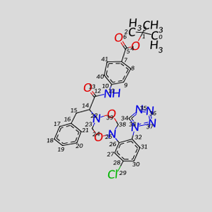 CC(C)(C)OC(=O)c1ccc(NC(=O)C(Cc2ccccc2)N2CON(c3cc(Cl)ccc3-n3cnnn3)CO2)cc1